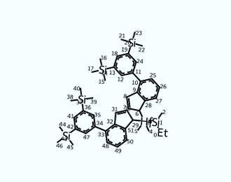 CC[Si](C)=[Hf]([CH3])([CH3])([CH]1C=Cc2c(-c3cc([Si](C)(C)C)cc([Si](C)(C)C)c3)cccc21)[CH]1C=Cc2c(-c3cc([Si](C)(C)C)cc([Si](C)(C)C)c3)cccc21